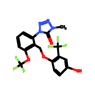 Cn1nnn(-c2cccc(OC(F)(F)F)c2COc2ccc(O)cc2C(F)(F)F)c1=O